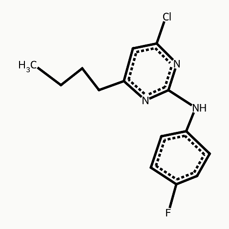 CCCCc1cc(Cl)nc(Nc2ccc(F)cc2)n1